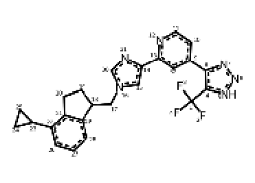 FC(F)(F)c1[nH]nnc1-c1ccnc(-c2cn(C[C@@H]3CCc4c(C5CC5)cccc43)cn2)c1